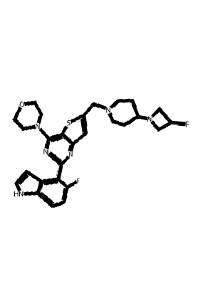 Fc1ccc2[nH]ccc2c1-c1nc(N2CCOCC2)c2sc(CN3CCC(N4CC(F)C4)CC3)cc2n1